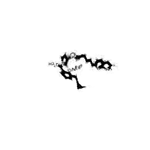 COc1c(CC2CC2)cccc1C(C(=O)O)N1CC[C@@H](OCCCCCc2ccc3c(n2)NCCC3)C1